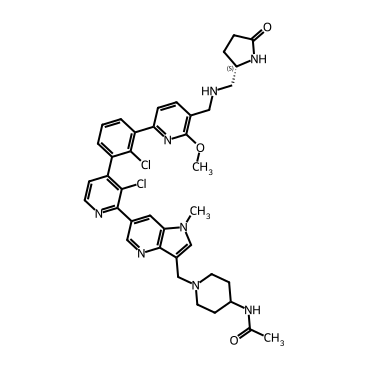 COc1nc(-c2cccc(-c3ccnc(-c4cnc5c(CN6CCC(NC(C)=O)CC6)cn(C)c5c4)c3Cl)c2Cl)ccc1CNC[C@@H]1CCC(=O)N1